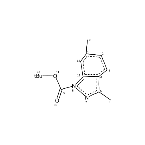 Cc1ccc2c(C)nn(C(=O)OC(C)(C)C)c2c1